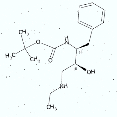 CCNC[C@H](O)[C@H](Cc1ccccc1)NC(=O)OC(C)(C)C